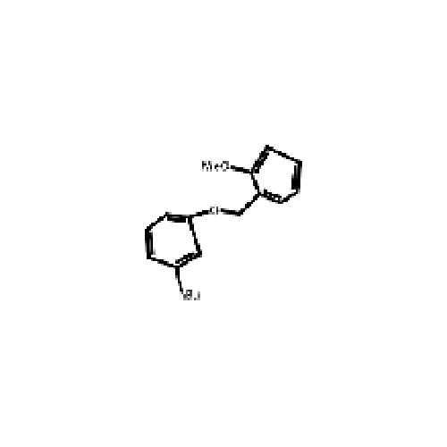 CCCCc1cccc(OCc2ccccc2OC)c1